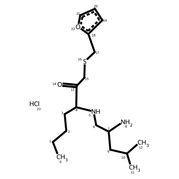 CCCCC(NCC(N)CC(C)C)C(=O)CSCc1ccco1.Cl